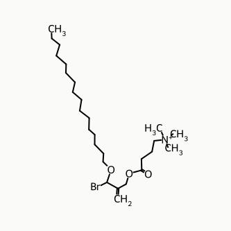 C=C(COC(=O)CCC[N+](C)(C)C)C(Br)OCCCCCCCCCCCCCCCC